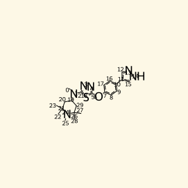 CN(c1nnc(Oc2ccc(-c3cn[nH]c3)cc2)s1)C1CC(C)(C)N(C)C(C)(C)C1